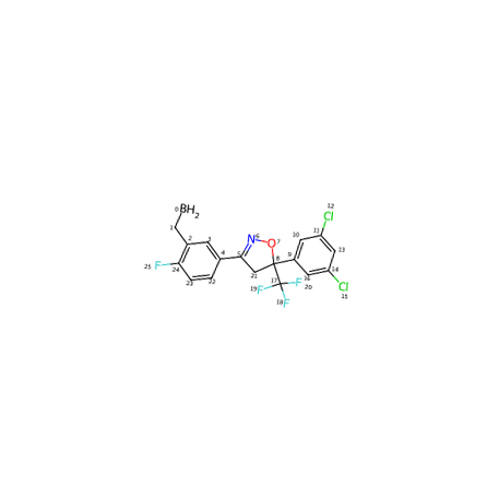 BCc1cc(C2=NOC(c3cc(Cl)cc(Cl)c3)(C(F)(F)F)C2)ccc1F